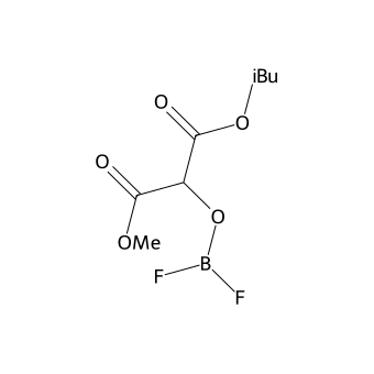 CCC(C)OC(=O)C(OB(F)F)C(=O)OC